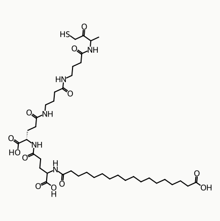 CC(NC(=O)CCCNC(=O)CCCNC(=O)CC[C@H](NC(=O)CCC(NC(=O)CCCCCCCCCCCCCCCCC(=O)O)C(=O)O)C(=O)O)C(=O)CS